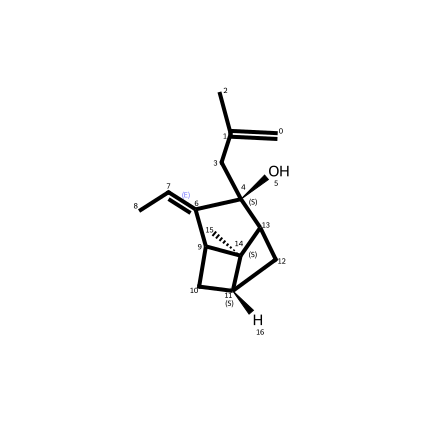 C=C(C)C[C@@]1(O)/C(=C/C)C2C[C@H]3CC1[C@]23C